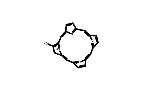 OC1=C2C=C3C=CC(=N3)C=C3C=CC(=N3)C=C3C=CC(=N3)C=C(C1)N2